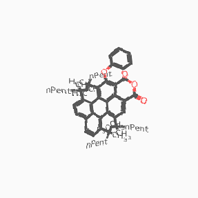 CCCCCC(C)(C)c1ccc2ccc(C(C)(C)CCCCC)c3c4c(C(C)(C)CCCCC)c(Oc5ccccc5)c5c6c(cc(C(C)(C)CCCCC)c(c1c23)c64)C(=O)OC5=O